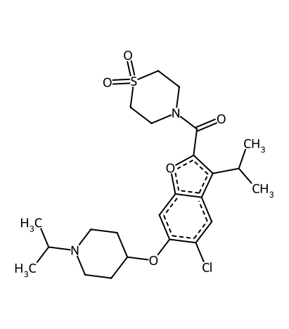 CC(C)c1c(C(=O)N2CCS(=O)(=O)CC2)oc2cc(OC3CCN(C(C)C)CC3)c(Cl)cc12